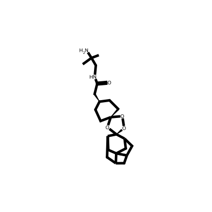 CC(C)(N)CNC(=O)C[C@H]1CC[C@@]2(CC1)OO[C@@]1(O2)C2CC3CC4CC1CC34C2